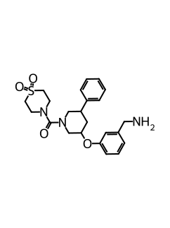 NCc1cccc(OC2CC(c3ccccc3)CN(C(=O)N3CCS(=O)(=O)CC3)C2)c1